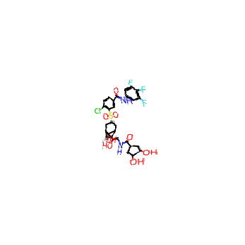 C[C@H]1CC2C[C@@H](S(=O)(=O)c3cc(C(=O)Nc4cc(F)c(F)c(F)c4)ccc3Cl)CC1[C@@]2(O)C(O)CNC(=O)C1CC(O)C(O)C1